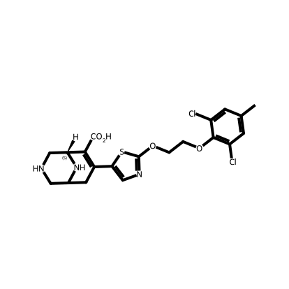 Cc1cc(Cl)c(OCCOc2ncc(C3=C(C(=O)O)[C@H]4CNCC(C3)N4)s2)c(Cl)c1